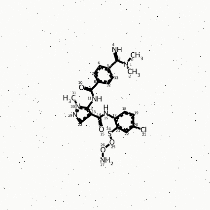 CN(C)C(=N)c1ccc(C(=O)Nc2c(C(=O)Nc3ccc(Cl)cc3SOON)cnn2C)cc1